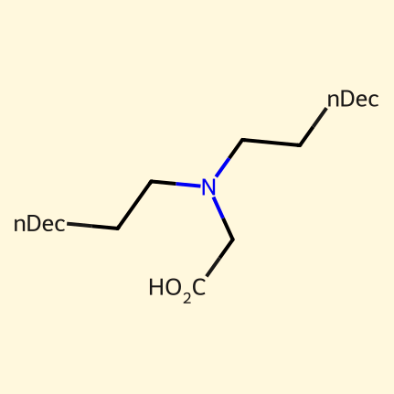 CCCCCCCCCCCCN(CCCCCCCCCCCC)CC(=O)O